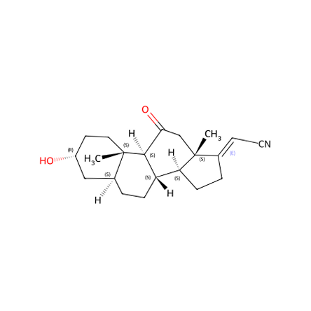 C[C@]12CC[C@@H](O)C[C@@H]1CC[C@@H]1[C@@H]2C(=O)C[C@]2(C)/C(=C/C#N)CC[C@@H]12